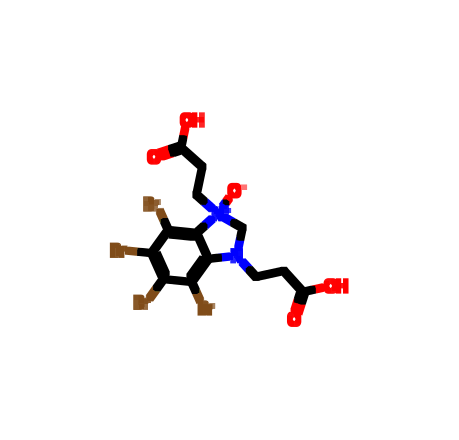 O=C(O)CCN1C[N+]([O-])(CCC(=O)O)c2c(Br)c(Br)c(Br)c(Br)c21